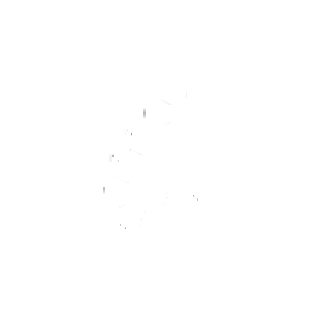 S=C(Nc1ccc2[nH]cc(C3=CCN4CCCC4C3)c2c1)Nc1ccc(I)cc1I